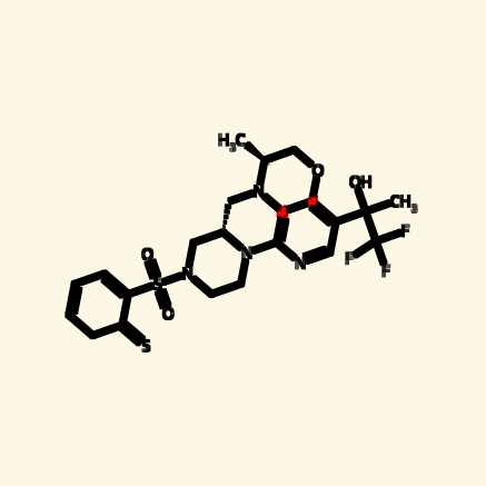 C[C@H]1COCCN1C[C@H]1CN(S(=O)(=O)C2=CC=CCC2=S)CCN1c1ncc(C(C)(O)C(F)(F)F)cn1